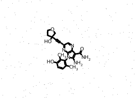 Cc1ccc(O)c(C)c1-n1c(N)c(C(N)=O)c2ncc(C#CC3(O)CCOC3)nc21